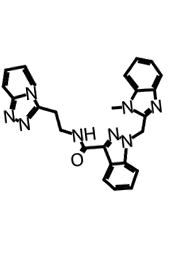 Cn1c(Cn2nc(C(=O)NCCc3nnc4ccccn34)c3ccccc32)nc2ccccc21